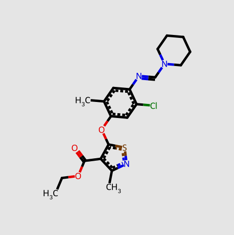 CCOC(=O)c1c(C)nsc1Oc1cc(Cl)c(N=CN2CCCCC2)cc1C